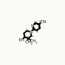 CCC1CCN(c2ccc(C#N)cn2)CC1(C)C